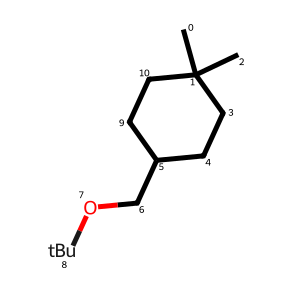 CC1(C)CCC(COC(C)(C)C)CC1